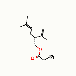 C=C(C)C(CC=C(C)C)COC(=O)CC(C)C